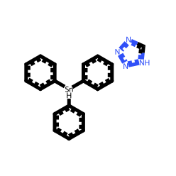 c1cc[c]([SnH]([c]2ccccc2)[c]2ccccc2)cc1.c1nnn[nH]1